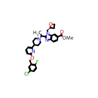 COC(=O)c1ccc2nc(C(C)N3CCC(c4cccc(OCc5cc(Cl)ccc5F)n4)CC3)n(C[C@@H]3CCO3)c2c1